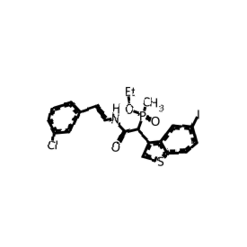 CCOP(C)(=O)C(C(=O)N/C=C/c1cccc(Cl)c1)c1csc2ccc(I)cc12